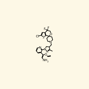 C=CO/C(=C\N)c1cccnc1N1CC(CN2CCC3(CC2)OCC(F)(F)c2cc(Cl)sc23)C(C)=N1